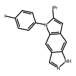 CC(C)c1cc2cc3[nH]ncc3cc2n1-c1ccc(I)cc1